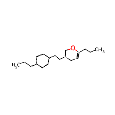 CCCC1=CCC(CCC2CCC(CCC)CC2)CO1